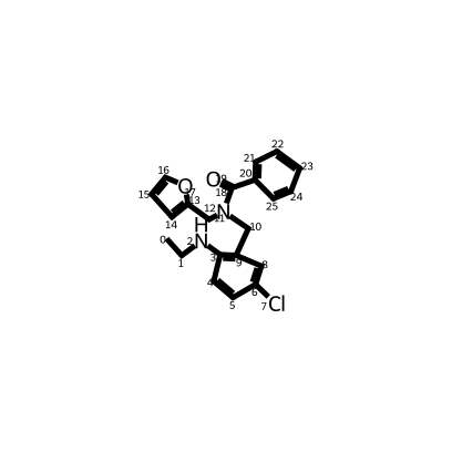 CCNc1ccc(Cl)cc1CN(Cc1ccco1)C(=O)c1ccccc1